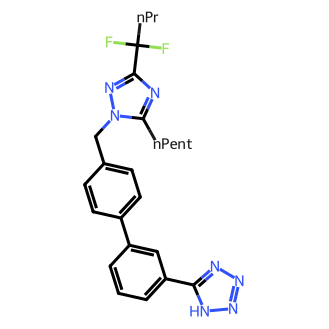 CCCCCc1nc(C(F)(F)CCC)nn1Cc1ccc(-c2cccc(-c3nnn[nH]3)c2)cc1